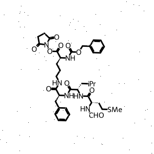 CSCC[C@H](NC=O)C(=O)N[C@@H](CC(C)C)C(=O)N[C@@H](Cc1ccccc1)C(=O)NCCC[C@H](NC(=O)OCc1ccccc1)C(=O)ON1C(=O)CCC1=O